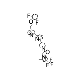 Cc1cc(C(F)(F)F)nn1CC(=O)N1CCC(c2nc(C3=NOC(CCOc4c(F)cccc4F)C3)cs2)CC1